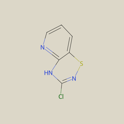 ClC1=NSc2cccnc2N1